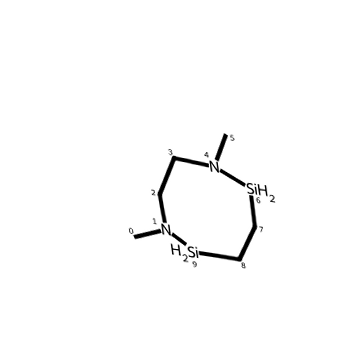 CN1CCN(C)[SiH2]CC[SiH2]1